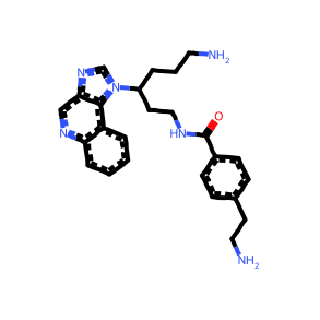 NCCCC(CCNC(=O)c1ccc(CCN)cc1)n1cnc2cnc3ccccc3c21